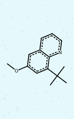 COc1cc(C(C)(C)C)c2ncccc2c1